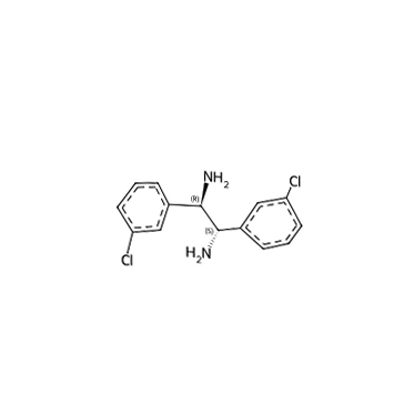 N[C@H](c1cccc(Cl)c1)[C@@H](N)c1cccc(Cl)c1